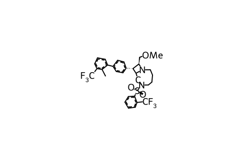 COC[C@@H]1[C@@H](c2ccc(-c3cccc(C(F)(F)F)c3C)cc2)C2CN(S(=O)(=O)c3ccccc3C(F)(F)F)CCCCN21